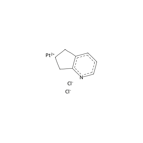 [Cl-].[Cl-].[Pt+2].c1cnc2c(c1)CCC2